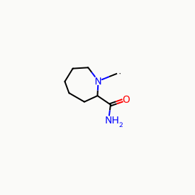 [CH2]N1CCCCCC1C(N)=O